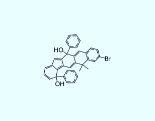 CC1(C)C2=CC3=C4C(=CC=CC4(O)c4ccccc4)C=C3C(O)(c3ccccc3)C2=Cc2ccc(Br)cc21